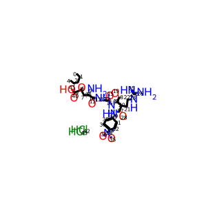 CCC(CC)OC(C[C@H](N)C(=O)NCC(=O)N[C@H](C=O)C(CCNC(=N)N)C(=O)Nc1ccc([N+](=O)[O-])cc1)C(=O)O.Cl.Cl